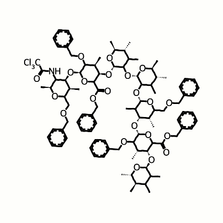 CC1C(C)[C@@H](C)[C@H](C)O[C@H]1O[C@H]1C(C(=O)OCc2ccccc2)O[C@@H](O[C@@H]2C(C)[C@H](OC3C(C)[C@@H](C)[C@H](C)O[C@H]3OC3C(C)[C@@H](C)[C@H](C)O[C@H]3O[C@H]3C(C(=O)OCc4ccccc4)O[C@@H](O[C@@H]4C(NC(=O)C(Cl)(Cl)Cl)[C@H](C)OC(COCc5ccccc5)[C@@H]4C)C(OCc4ccccc4)[C@H]3C)OC(COCc3ccccc3)[C@@H]2C)C(OCc2ccccc2)[C@H]1C